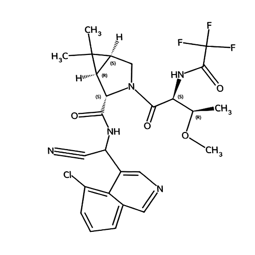 CO[C@H](C)[C@H](NC(=O)C(F)(F)F)C(=O)N1C[C@H]2[C@@H]([C@H]1C(=O)NC(C#N)c1cncc3cccc(Cl)c13)C2(C)C